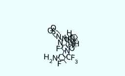 Cc1c(F)c(N)cc(-c2nc3c4c(nc(N5CCS(=O)(=O)CC5)nc4c2F)N2C[C@H]4CC[C@H](N4)[C@H]2[C@H](C)O3)c1C(F)(F)F